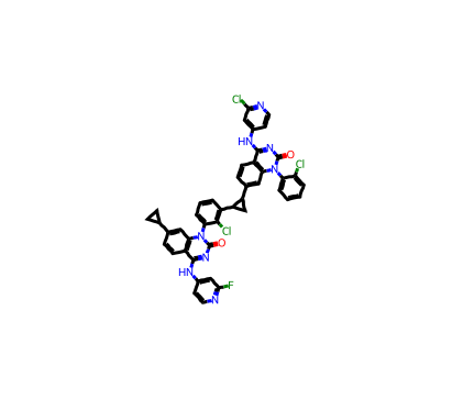 O=c1nc(Nc2ccnc(Cl)c2)c2ccc(C3CC3c3cccc(-n4c(=O)nc(Nc5ccnc(F)c5)c5ccc(C6CC6)cc54)c3Cl)cc2n1-c1ccccc1Cl